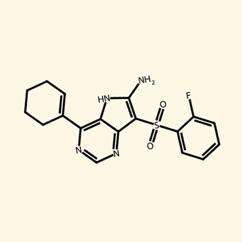 Nc1[nH]c2c(C3=CCCCC3)ncnc2c1S(=O)(=O)c1ccccc1F